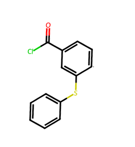 O=C(Cl)c1cc[c]c(Sc2ccccc2)c1